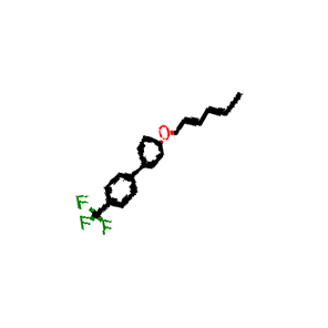 CC=CC=CCOc1ccc(-c2ccc(C(F)(F)F)cc2)cc1